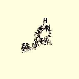 Cc1nn2cc1S(=O)(=O)NC(=O)c1ccc(-n3ccc(OCCC4(C(F)(F)F)CC4)n3)nc1N1CC(CCC2)CC1(C)C